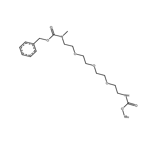 CN(CCOCCOCCOCCNC(=O)OC(C)(C)C)C(=O)OCc1ccccc1